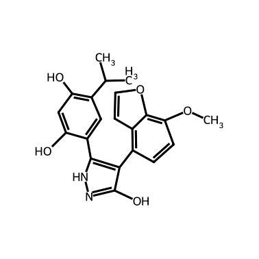 COc1ccc(-c2c(O)n[nH]c2-c2cc(C(C)C)c(O)cc2O)c2ccoc12